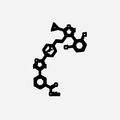 COC(=O)c1cccc(-c2noc(C34CCC(C=Cc5c(-c6c(Cl)cccc6Cl)noc5C5CC5)(CC3)CC4)n2)c1